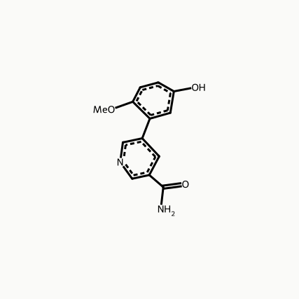 COc1ccc(O)cc1-c1cncc(C(N)=O)c1